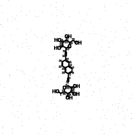 OC[C@H]1O[C@H](C#Cc2ccc3cc(C#CC4O[C@H](CO)[C@@H](O)[C@H](O)[C@@H]4O)ccc3c2)[C@@H](O)[C@@H](O)[C@@H]1O